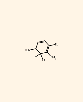 CCC1=C(N)C(C)(CC)C(N)C=C1